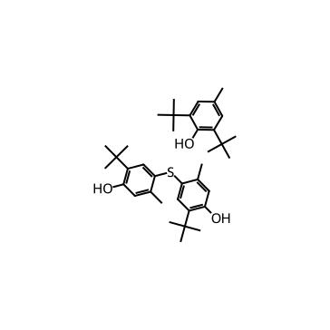 Cc1cc(C(C)(C)C)c(O)c(C(C)(C)C)c1.Cc1cc(O)c(C(C)(C)C)cc1Sc1cc(C(C)(C)C)c(O)cc1C